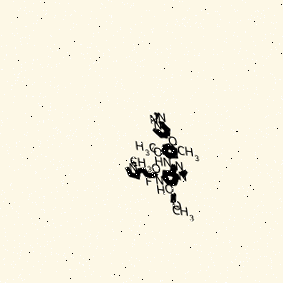 COCCOc1cc2ncnc(Nc3cc(C)c(Oc4ccn5ncnc5c4)cc3OC)c2cc1NC(=O)C(F)=CC1CCCN1C